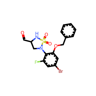 O=CC1CN(c2c(F)cc(Br)cc2OCc2ccccc2)S(=O)(=O)N1